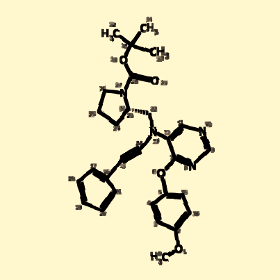 COc1ccc(Oc2ncncc2N(C#Cc2ccccc2)C[C@@H]2CCCN2C(=O)OC(C)(C)C)cc1